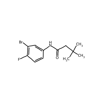 CC(C)(C)CC(=O)Nc1ccc(F)c(Br)c1